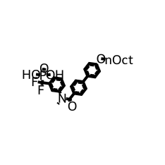 CCCCCCCCOc1ccc(-c2ccc(C(=O)N(C)c3cccc(C(F)(F)P(=O)(O)O)c3)cc2)cc1